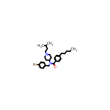 CCCCCc1ccc(C(=O)N(Cc2ccc(Br)cc2)C2CCN(CCC(C)C)CC2)cc1